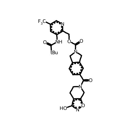 CC(C)(C)C(=O)Nc1cc(C(F)(F)F)cnc1COC(=O)N1Cc2ccc(C(=O)N3CCc4c(O)noc4C3)cc2C1